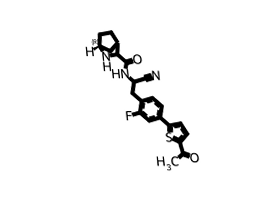 CC(=O)c1ccc(-c2ccc(CC(C#N)NC(=O)C3N[C@@H]4CCC3C4)c(F)c2)s1